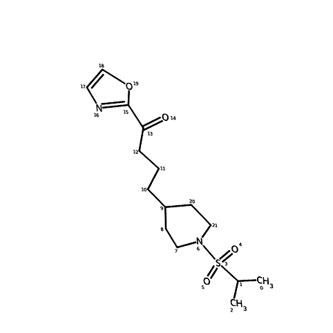 CC(C)S(=O)(=O)N1CCC(CCCC(=O)c2ncco2)CC1